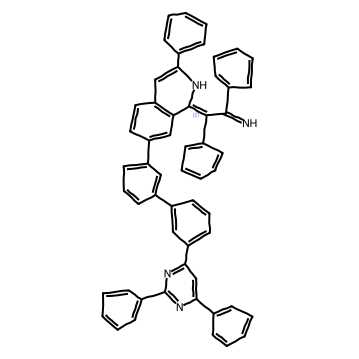 N=C(/C(=C1\NC(c2ccccc2)=Cc2ccc(-c3cccc(-c4cccc(-c5cc(-c6ccccc6)nc(-c6ccccc6)n5)c4)c3)cc21)c1ccccc1)c1ccccc1